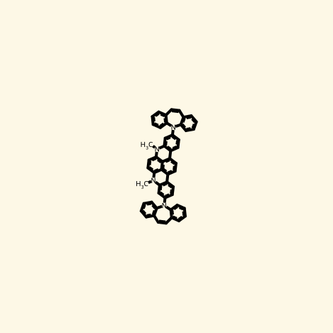 CN1c2cc(N3c4ccccc4C=Cc4ccccc43)ccc2-c2ccc3c4c(ccc1c24)N(C)c1cc(N2c4ccccc4C=Cc4ccccc42)ccc1-3